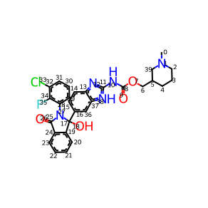 CN1CCCC(COC(=O)Nc2nc3ccc(C4(O)c5ccccc5C(=O)N4c4cccc(Cl)c4F)cc3[nH]2)C1